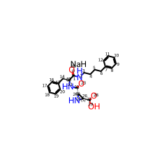 O=C(NCCCCc1ccccc1)[C@H](Cc1ccccc1)NC(=O)[C@H]1N[C@@H]1C(=O)O.[NaH]